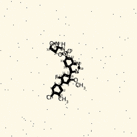 COc1cc(-c2ccc(Cl)c(C)c2)c(F)cc1-c1ncnc2cc(S(=O)(=O)Nc3ccon3)ccc12